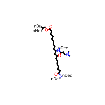 CCCCCCCCCCN(CCCCCCCCCC)C(=O)CCCCCCCCC(CCCCCCCCC(=O)OCC(CCCC)CCCCCC)N(CCCCCCCCCC)C(=O)CCN(C)C